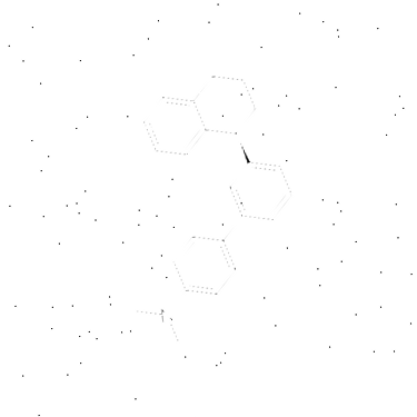 CN(C)c1ccc(-c2cccc([C@@H]3CCCc4ccccc43)c2)cc1